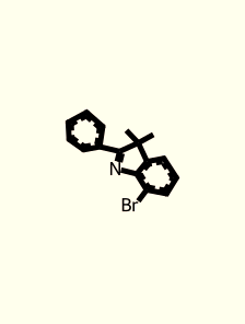 CC1(C)C(c2ccccc2)=Nc2c(Br)cccc21